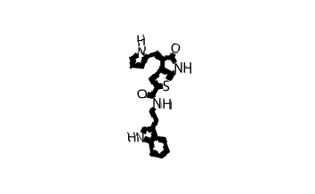 O=C1Nc2sc(C(=O)NCCc3c[nH]c4ccccc34)cc2C1=Cc1ccc[nH]1